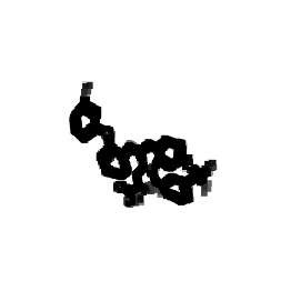 N[C@@H](CCN(Cc1ccccc1OCc1cccc(C(F)(F)F)c1)Cc1ccccc1Oc1cccc(F)c1)C(=O)O